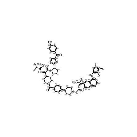 CNC(C)C(=O)NC(C(=O)N1CCC[C@H]1c1nc(C(=O)c2ccc(F)cc2)cs1)C1CCN(C(=O)c2ccc(N3CCN(CCOc4cc5ncnc(Nc6n[nH]c(C)c6C)c5cc4S(=O)(=O)C(C)(C)C)CC3)nc2)CC1